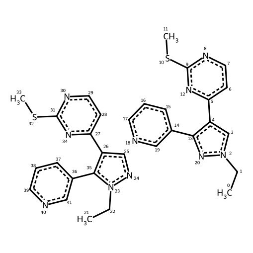 CCn1cc(-c2ccnc(SC)n2)c(-c2cccnc2)n1.CCn1ncc(-c2ccnc(SC)n2)c1-c1cccnc1